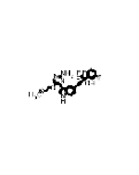 COCCOc1cnc(N)nc1-c1c[nH]c2ccc(C#CC(O)(c3cccc(F)c3)C(F)(F)F)cc12